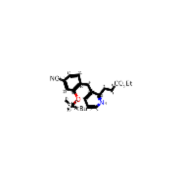 CCOC(=O)CCc1ncccc1Cc1ccc(C#N)cc1O[Si](C)(C)C(C)(C)C